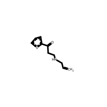 C=CCNCCC(=O)c1cccs1